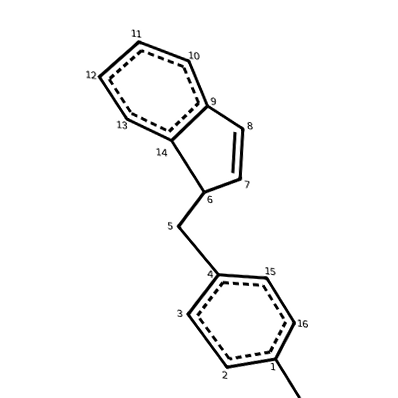 Cc1ccc(CC2C=Cc3ccccc32)cc1